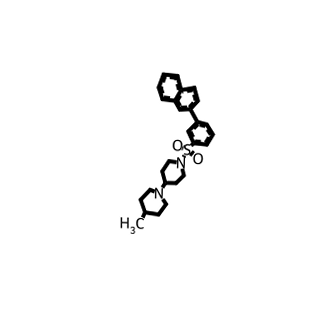 CC1CCN(C2CCN(S(=O)(=O)c3cccc(-c4ccc5ccccc5c4)c3)CC2)CC1